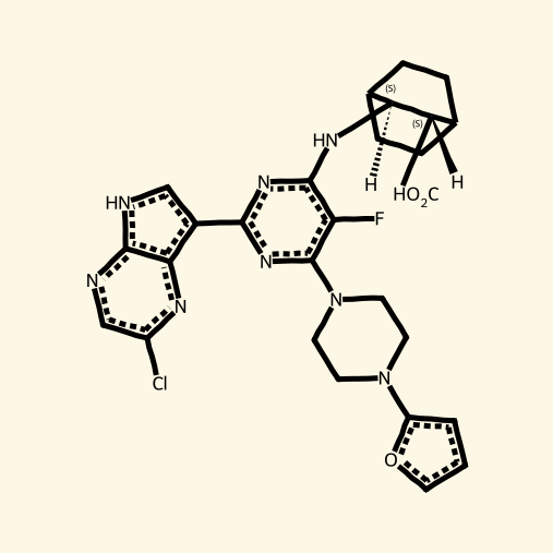 O=C(O)[C@H]1C2CCC(CC2)[C@@H]1Nc1nc(-c2c[nH]c3ncc(Cl)nc23)nc(N2CCN(c3ccco3)CC2)c1F